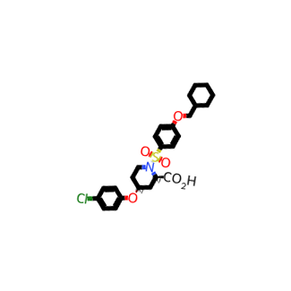 O=C(O)[C@H]1C[C@H](Oc2ccc(Cl)cc2)CCN1S(=O)(=O)c1ccc(OCC2CCCCC2)cc1